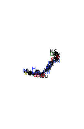 Cc1ncsc1-c1ccc([C@H](C)NC(=O)[C@@H]2CCCN2C(=O)C(NC(=O)CN[C@H]2C[C@H](N3CCN(c4ccc(C(=O)N[C@H]5C(C)(C)[C@H](Oc6ccc(C#N)c(Cl)c6)C5(C)C)cn4)CC3)C2)C(C)(C)C)cc1